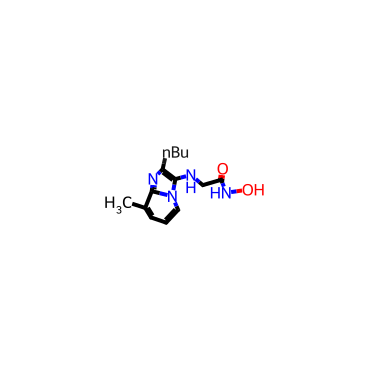 CCCCc1nc2c(C)cccn2c1NCC(=O)NO